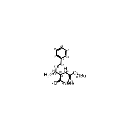 CNC(=O)[C@H](NC(=O)OC(C)(C)C)[C@@H](C)OCc1ccccc1